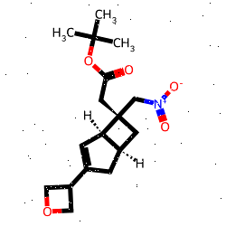 CC(C)(C)OC(=O)C[C@@]1(C[N+](=O)[O-])C[C@H]2CC(C3COC3)=C[C@H]21